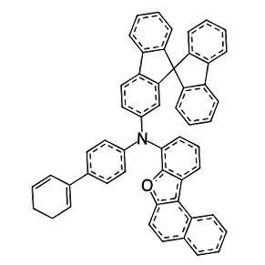 C1=CC(c2ccc(N(c3ccc4c(c3)C3(c5ccccc5-c5ccccc53)c3ccccc3-4)c3cccc4c3oc3ccc5ccccc5c34)cc2)=CCC1